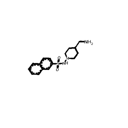 NCC1CCN(NS(=O)(=O)c2ccc3ccccc3c2)CC1